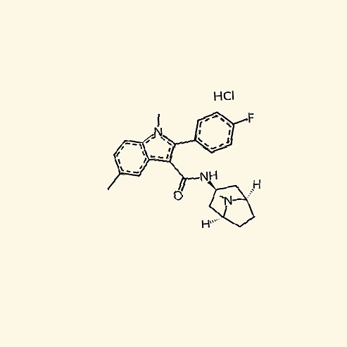 Cc1ccc2c(c1)c(C(=O)N[C@H]1C[C@H]3CC[C@@H](C1)N3C)c(-c1ccc(F)cc1)n2C.Cl